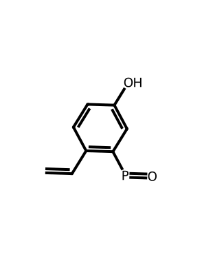 C=Cc1ccc(O)cc1P=O